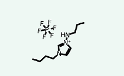 CCCCn1cc[n+](NCCC)c1.F[P-](F)(F)(F)(F)F